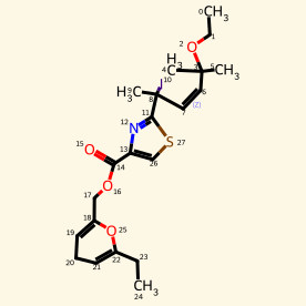 CCOC(C)(C)/C=C\C(C)(I)c1nc(C(=O)OCC2=CCC=C(CC)O2)cs1